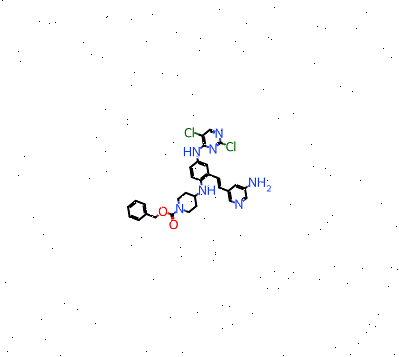 Nc1cncc(/C=C/c2cc(Nc3nc(Cl)ncc3Cl)ccc2NC2CCN(C(=O)OCc3ccccc3)CC2)c1